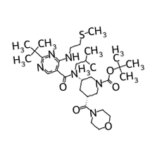 CSCCNc1nc(C(C)(C)C)ncc1C(=O)N(CC(C)C)[C@H]1C[C@@H](C(=O)N2CCOCC2)CN(C(=O)OC(C)(C)C)C1